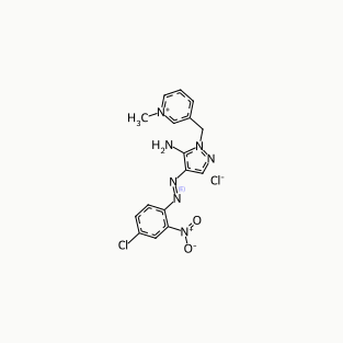 C[n+]1cccc(Cn2ncc(/N=N/c3ccc(Cl)cc3[N+](=O)[O-])c2N)c1.[Cl-]